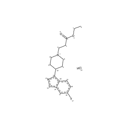 CCOC(=O)CCN1CCC(c2nsc3cc(F)ccc23)CC1.Cl